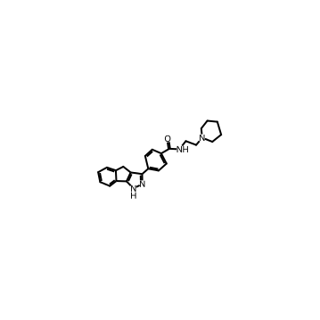 O=C(NCCN1CCCCC1)c1ccc(-c2n[nH]c3c2Cc2ccccc2-3)cc1